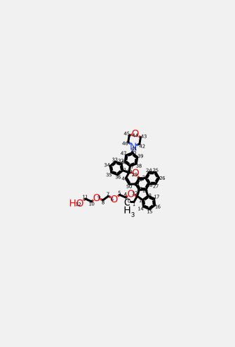 CCC1(OCCOCCOCCO)c2ccccc2-c2c1c1c(c3ccccc23)OC(c2ccccc2)(c2ccc(N3CCOCC3)cc2)C=C1